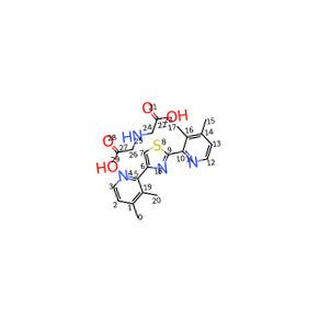 Cc1ccnc(-c2csc(-c3nccc(C)c3C)n2)c1C.O=C(O)CNCC(=O)O